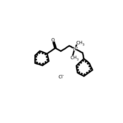 C[N+](C)(CCC(=O)c1ccccc1)Cc1ccccc1.[Cl-]